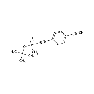 C#Cc1ccc(C#CC(C)(C)OC(C)(C)C)cc1